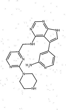 Nc1cc(-c2c[nH]c3ncnc(NCc4ccnc(N5CCNCC5)n4)c23)ccn1